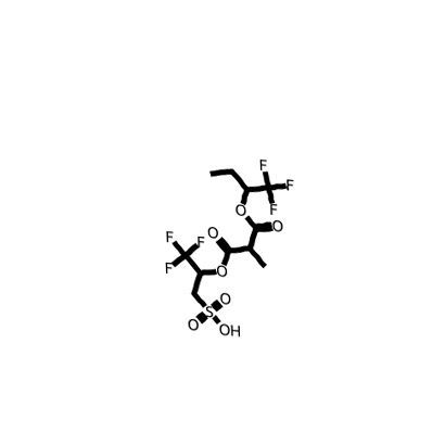 CCC(OC(=O)C(C)C(=O)OC(CS(=O)(=O)O)C(F)(F)F)C(F)(F)F